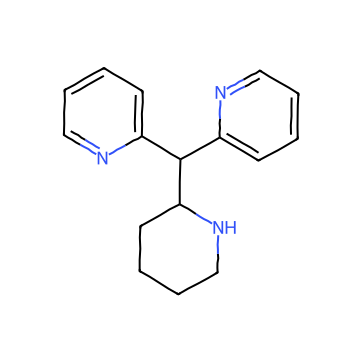 c1ccc(C(c2ccccn2)C2CCCCN2)nc1